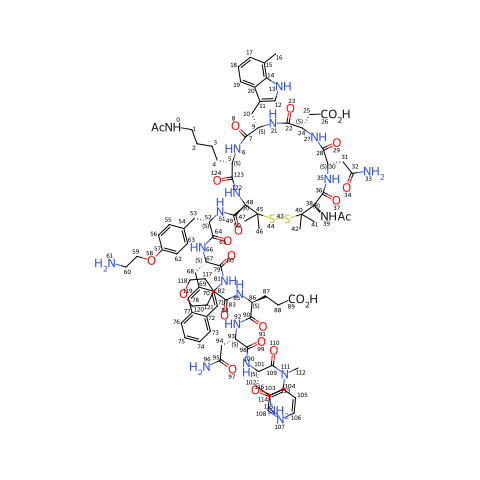 CC(=O)NCCCC[C@@H]1NC(=O)[C@H](Cc2c[nH]c3c(C)cccc23)NC(=O)[C@H](CC(=O)O)NC(=O)[C@H](CC(N)=O)NC(=O)[C@@H](NC(C)=O)C(C)(C)SSC(C)(C)[C@@H](C(=O)N[C@@H](Cc2ccc(OCCN)cc2)C(=O)N[C@@H](Cc2ccc3ccccc3c2)C(=O)NC2(C(=O)N[C@@H](CCC(=O)O)C(=O)N[C@@H](CC(N)=O)C(=O)N[C@@H](Cc3cccnc3)C(=O)N(C)CC(N)=O)CCOCC2)NC1=O